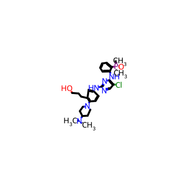 CN(C)C1CCN(c2ccc(Nc3ncc(Cl)c(Nc4ccccc4P(C)(C)=O)n3)cc2CCCO)CC1